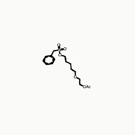 CC(=O)OCCOCCCCCOS(=O)(=O)Cc1ccccc1